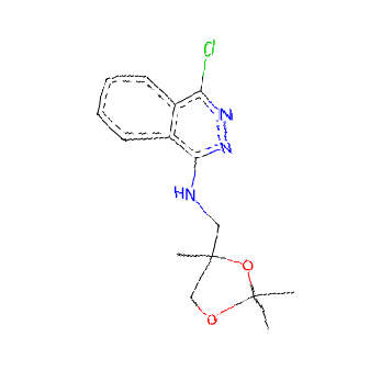 CC1(CNc2nnc(Cl)c3ccccc23)COC(C)(C)O1